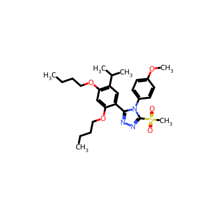 CCCCOc1cc(OCCCC)c(C(C)C)cc1-c1nnc(S(C)(=O)=O)n1-c1ccc(OC)cc1